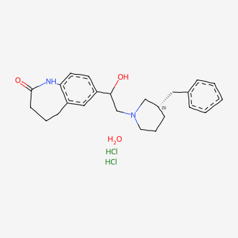 Cl.Cl.O.O=C1CCCc2cc(C(O)CN3CCC[C@@H](Cc4ccccc4)C3)ccc2N1